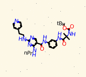 CCCNc1nc(NCCc2ccncc2)ncc1C(=O)Nc1cccc(NC(=O)C(C)(C)NC(=O)OC(C)(C)C)c1